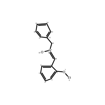 CCOc1ccccc1C=[N+]([O-])Cc1ccccc1